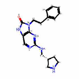 O=c1[nH]c2cnc(NC[C@@H]3CCNC3)nc2n1CCc1ccccc1